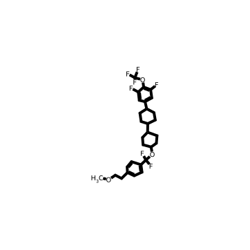 COCCc1ccc(C(F)(F)OC2CCC(C3CCC(c4cc(F)c(OC(F)(F)F)c(F)c4)CC3)CC2)cc1